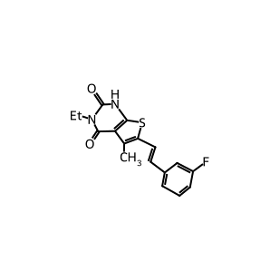 CCn1c(=O)[nH]c2sc(C=Cc3cccc(F)c3)c(C)c2c1=O